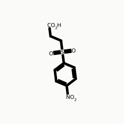 O=C(O)CCS(=O)(=O)c1ccc([N+](=O)[O-])cc1